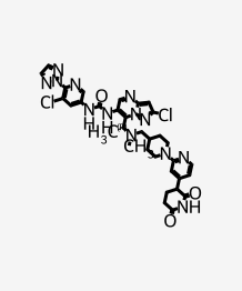 C[C@H](c1c(NC(=O)Nc2cnc(-n3nccn3)c(Cl)c2)cnc2cc(Cl)nn12)N(C)CC1CCN(c2cc(C3CCC(=O)NC3=O)ccn2)CC1